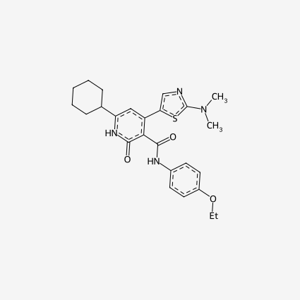 CCOc1ccc(NC(=O)c2c(-c3cnc(N(C)C)s3)cc(C3CCCCC3)[nH]c2=O)cc1